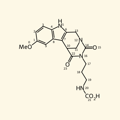 COc1ccc2[nH]c3c(c2c1)C1CN(C3)C(=O)N(CCCNC(=O)O)C1=O